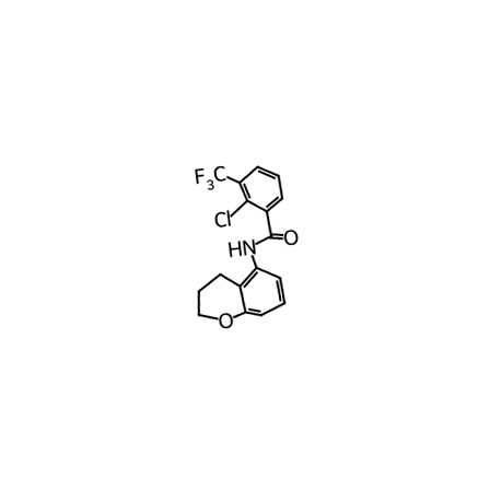 O=C(Nc1cccc2c1CCCO2)c1cccc(C(F)(F)F)c1Cl